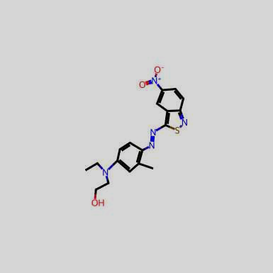 CCN(CCO)c1ccc(/N=N/c2snc3ccc([N+](=O)[O-])cc23)c(C)c1